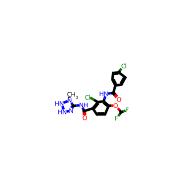 CN1NNN=C1NC(=O)c1ccc(OC(F)F)c(NC(=O)c2ccc(Cl)cc2)c1Cl